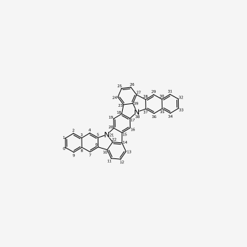 c1ccc2cc3c(cc2c1)c1cccc2c4cc5c(cc4n3c12)c1cccc2c3cc4ccccc4cc3n5c21